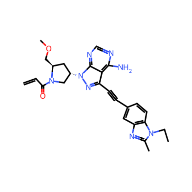 C=CC(=O)N1C[C@@H](n2nc(C#Cc3ccc4c(c3)nc(C)n4CC)c3c(N)ncnc32)C[C@@H]1COC